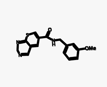 COc1cccc(CNC(=O)C2=CSC3=NCN=CC3=C2)c1